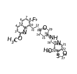 COc1ccc2ccc(F)c(CC[C@H]3CC[C@@H](NCc4ncc5c(c4O)SCO5)CO3)c2n1